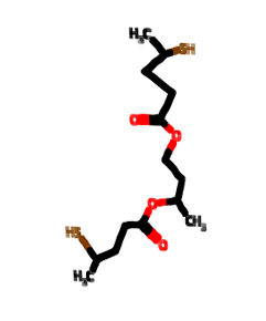 CC(S)CCC(=O)OCCC(C)OC(=O)CCC(C)S